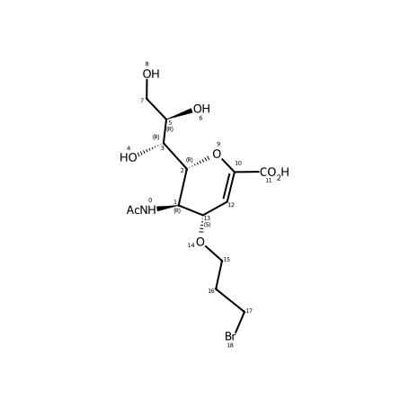 CC(=O)N[C@H]1[C@H]([C@H](O)[C@H](O)CO)OC(C(=O)O)=C[C@@H]1OCCCBr